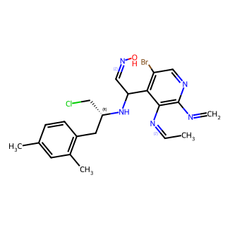 C=Nc1ncc(Br)c(C(/C=N\O)N[C@@H](CCl)Cc2ccc(C)cc2C)c1/N=C\C